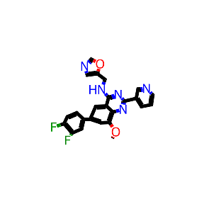 COc1cc(-c2ccc(F)c(F)c2)cc2c(NCc3cnco3)nc(-c3cccnc3)nc12